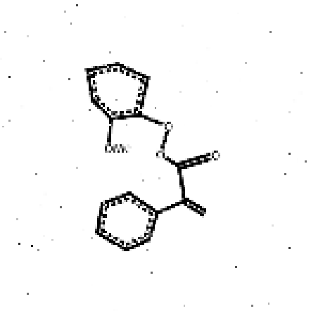 C=C(C(=O)OOc1ccccc1OC)c1ccccc1